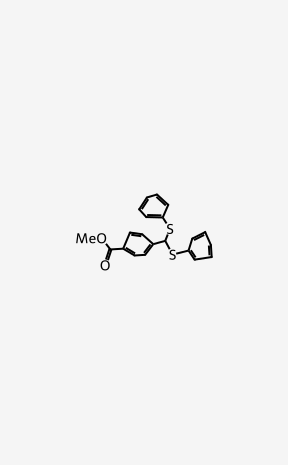 COC(=O)c1ccc(C(Sc2ccccc2)Sc2ccccc2)cc1